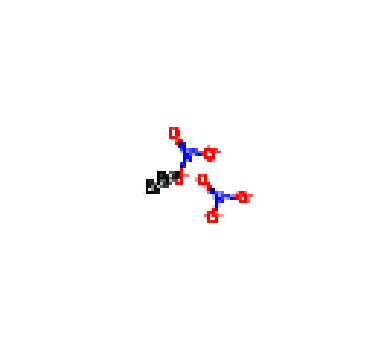 O=[N+]([O-])[O-].O=[N+]([O-])[O-].[Eu+3].[Pr+3]